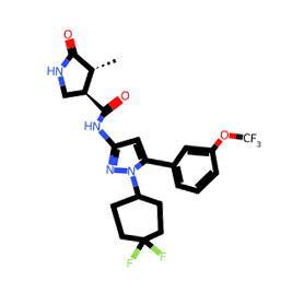 C[C@H]1C(=O)NC[C@@H]1C(=O)Nc1cc(-c2cccc(OC(F)(F)F)c2)n(C2CCC(F)(F)CC2)n1